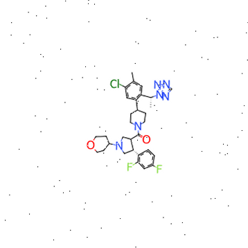 Cc1cc([C@@H](C)n2ncnn2)c(C2CCN(C(=O)C3CN(C4CCOCC4)C[C@H]3c3ccc(F)cc3F)CC2)cc1Cl